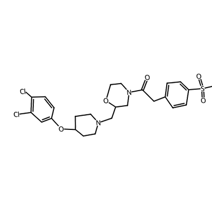 CS(=O)(=O)c1ccc(CC(=O)N2CCOC(CN3CCC(Oc4ccc(Cl)c(Cl)c4)CC3)C2)cc1